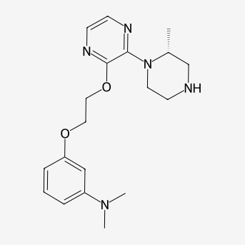 C[C@@H]1CNCCN1c1nccnc1OCCOc1cccc(N(C)C)c1